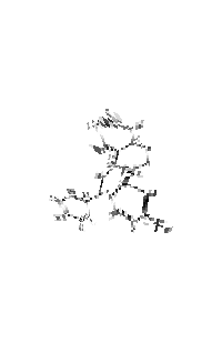 Fc1cccc(N2CCC3CC=CC=C3C2CCc2ccccc2)c1